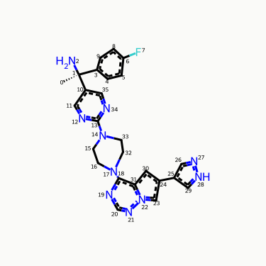 C[C@](N)(c1ccc(F)cc1)c1cnc(N2CCN(c3ncnn4cc(-c5cn[nH]c5)cc34)CC2)nc1